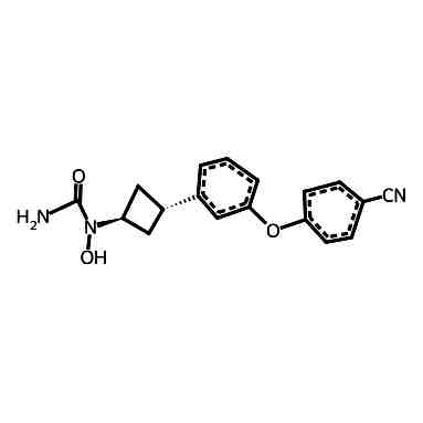 N#Cc1ccc(Oc2cccc([C@H]3C[C@H](N(O)C(N)=O)C3)c2)cc1